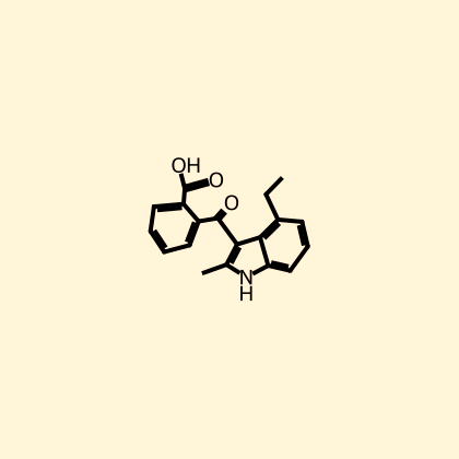 CCc1cccc2[nH]c(C)c(C(=O)c3ccccc3C(=O)O)c12